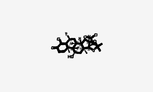 CC1(C)O[C@@H]2C[C@H]3[C@@H]4C[C@H](F)C5=C(Cl)C(=O)C=C[C@]5(C)[C@@]4(F)[C@@H](O)C[C@]3(C)[C@]2(C(=O)C(Cl)Cl)O1